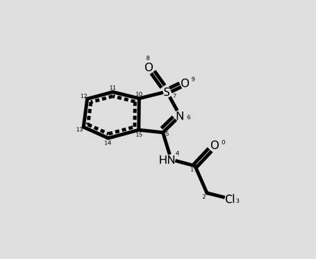 O=C(CCl)NC1=NS(=O)(=O)c2ccccc21